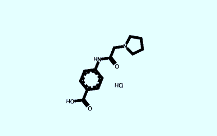 Cl.O=C(CN1CCCC1)Nc1ccc(C(=O)O)cc1